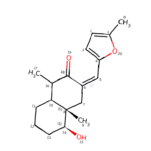 Cc1ccc(/C=C2/C[C@@]3(C)C(CCC[C@@H]3O)C(C)C2=O)o1